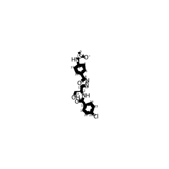 C[S+]([O-])Nc1ccc(-c2nnc([C@H](CO)NC(=O)c3ccc(Cl)cc3)o2)cc1